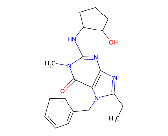 CCc1nc2nc(NC3CCCC3O)n(C)c(=O)c2n1Cc1ccccc1